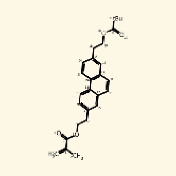 C=C(C)C(=O)OCCc1ccc2c(ccc3cc(CCOC(=O)C(C)(C)C)ccc32)c1